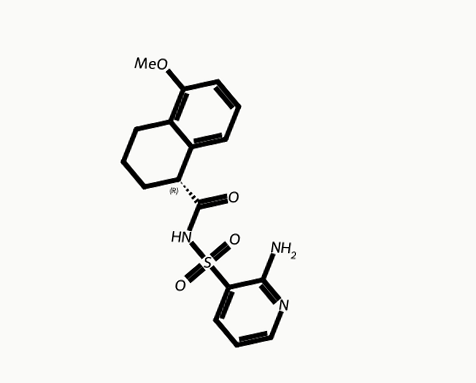 COc1cccc2c1CCC[C@H]2C(=O)NS(=O)(=O)c1cccnc1N